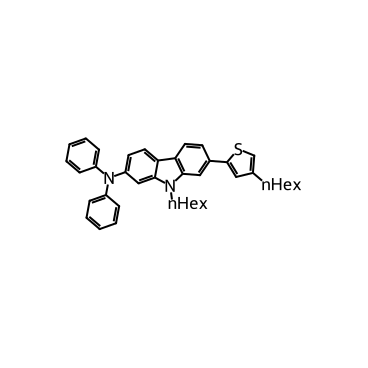 CCCCCCc1csc(-c2ccc3c4ccc(N(c5ccccc5)c5ccccc5)cc4n(CCCCCC)c3c2)c1